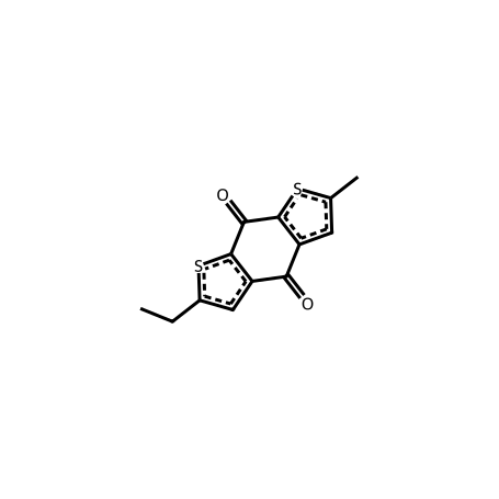 CCc1cc2c(s1)C(=O)c1sc(C)cc1C2=O